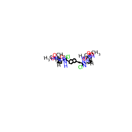 COC(=O)N[C@@H](C)C(=O)N1[C@@H]2C[C@@H]2C[C@H]1c1nc(Cl)c(C#Cc2ccc3cc(-c4[nH]c([C@@H]5C[C@H]6C[C@H]6N5C(=O)[C@H](C)NC(=O)OC)nc4Cl)ccc3c2)[nH]1